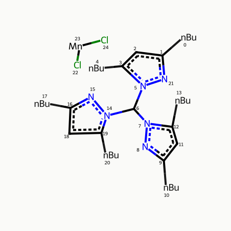 CCCCc1cc(CCCC)n(C(n2nc(CCCC)cc2CCCC)n2nc(CCCC)cc2CCCC)n1.[Cl][Mn][Cl]